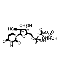 C#C[C@]1(O)C(n2ccc(=O)[nH]c2=O)OC(COP(O)(=S)OP(=O)(O)OP(=O)(O)O)[C@H]1O